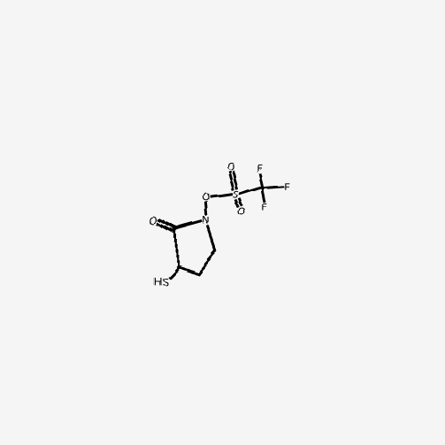 O=C1C(S)CCN1OS(=O)(=O)C(F)(F)F